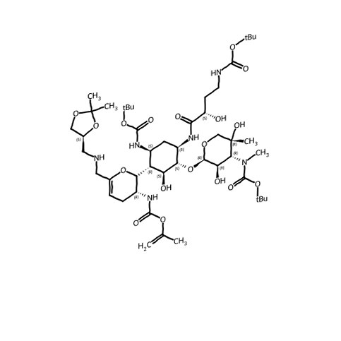 C=C(C)OC(=O)N[C@@H]1CC=C(CNC[C@H]2COC(C)(C)O2)OC1[C@H]1[C@H](O)[C@@H](O[C@H]2OC[C@](C)(O)[C@H](N(C)C(=O)OC(C)(C)C)[C@H]2O)[C@H](NC(=O)[C@@H](O)CCNC(=O)OC(C)(C)C)C[C@@H]1NC(=O)OC(C)(C)C